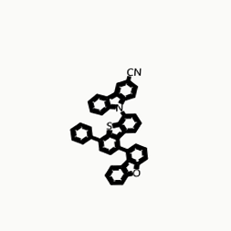 N#Cc1ccc2c(c1)c1ccccc1n2-c1cccc2c1sc1c(-c3ccccc3)ccc(-c3cccc4oc5ccccc5c34)c12